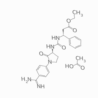 CC(=O)O.CCOC(=O)C[C@H](NC(=O)N[C@H]1CCN(c2ccc(C(=N)N)cc2)C1=O)c1ccccc1